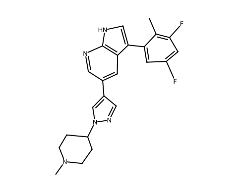 Cc1c(F)cc(F)cc1-c1c[nH]c2ncc(-c3cnn(C4CCN(C)CC4)c3)cc12